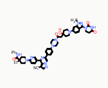 CCC1(C(=O)NC(C)C)CCN(c2ccc(-c3nc(-c4ccc(N5CCN(C(=O)CC6(O)CCN(c7ccc8c(N9CCC(=O)NC9=O)nn(C)c8c7)CC6)CC5)cc4)cn4ncc(C#N)c34)cn2)CC1